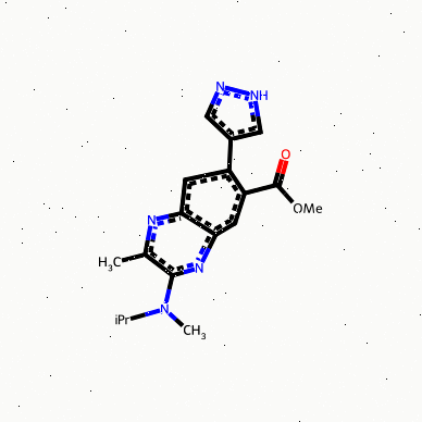 COC(=O)c1cc2nc(N(C)C(C)C)c(C)nc2cc1-c1cn[nH]c1